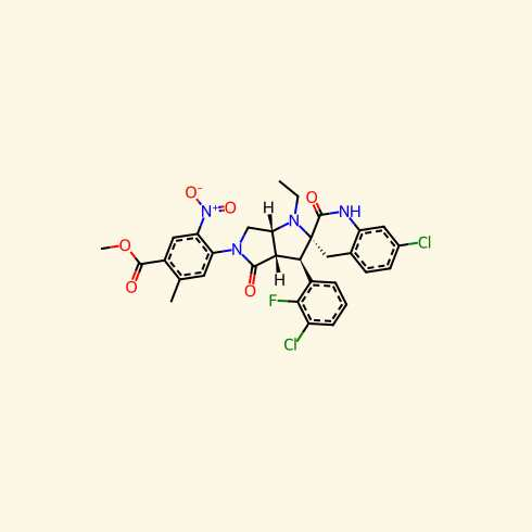 CCN1[C@H]2CN(c3cc(C)c(C(=O)OC)cc3[N+](=O)[O-])C(=O)[C@H]2[C@H](c2cccc(Cl)c2F)[C@@]12Cc1ccc(Cl)cc1NC2=O